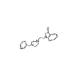 O=C1CN(CCN2CCN(Cc3ccccc3)CC2)c2ccccc21